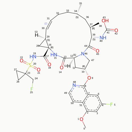 COc1cc(F)cc2c(O[C@@H]3C[C@H]4C(=O)N[C@]5(C(=O)NS(=O)(=O)C6(CF)CC6)C[C@H]5/C=C\CC[C@H](C)C[C@@H](C)[C@H](NC(=O)O)C(=O)N4C3)nccc12